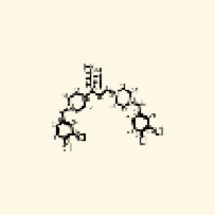 Cl.Cl.Cl.Cl.Clc1ccc(CN2CCN(CCCN3CCN(Cc4ccc(Cl)c(Cl)c4)CC3)CC2)cc1Cl